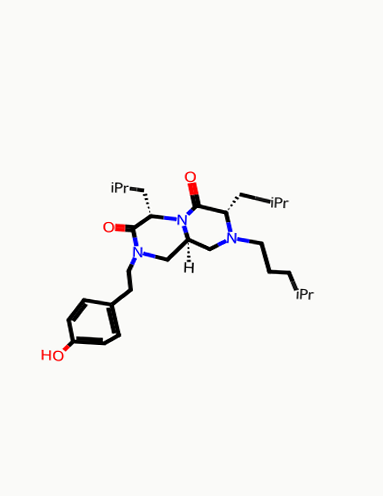 CC(C)CCCN1C[C@H]2CN(CCc3ccc(O)cc3)C(=O)[C@H](CC(C)C)N2C(=O)[C@@H]1CC(C)C